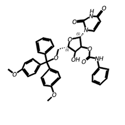 COc1ccc(C(OC[C@@H]2O[C@H](n3ccc(=O)[nH]c3=O)C(OC(=O)Nc3ccccc3)C2O)(c2ccccc2)c2ccc(OC)cc2)cc1